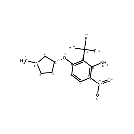 CN1CC[C@@H](Oc2ccc([N+](=O)[O-])c(N)c2C(F)(F)F)C1